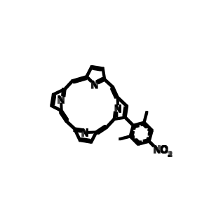 Cc1cc([N+](=O)[O-])cc(C)c1C1=CC2=CC3=NC(=CC4=NC(=CC5=NC(=CC1=N2)C=C5)C=C4)C=C3